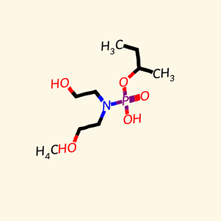 C.CCC(C)OP(=O)(O)N(CCO)CCO